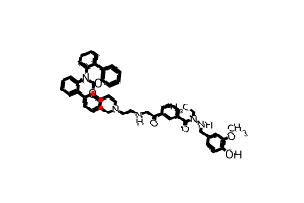 CCN(NCc1ccc(O)c(OC)c1)C(=O)c1cccc(C(=O)CNCCN2CCC(OC(=O)N(c3ccccc3-c3ccccc3)c3ccccc3-c3ccccc3)CC2)c1